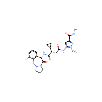 CC(C)NC(=O)c1cc(NC(=O)C[C@H](C(=O)N[C@@H]2C(=O)N3CCCN3Cc3c(F)cccc32)C2CC2)n(C)n1